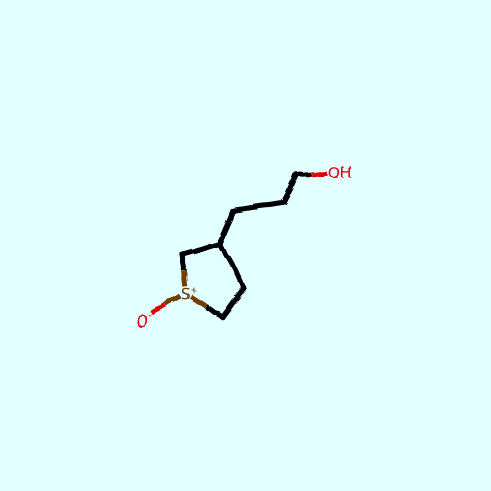 [O-][S+]1CCC(CCCO)C1